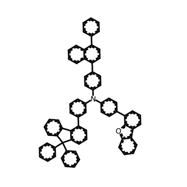 c1ccc(-c2ccc(-c3ccc(N(c4ccc(-c5cccc6c5oc5ccccc56)cc4)c4cccc(-c5cccc6c5-c5ccccc5C6(c5ccccc5)c5ccccc5)c4)cc3)c3ccccc23)cc1